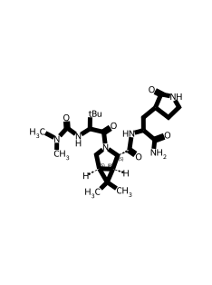 CN(C)C(=O)NC(C(=O)N1C[C@H]2[C@@H]([C@H]1C(=O)NC(CC1CCNC1=O)C(N)=O)C2(C)C)C(C)(C)C